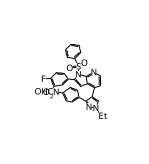 CCn1cc(-c2ccnc3c2cc(-c2ccc(F)c(C=O)c2)n3S(=O)(=O)c2ccccc2)c(-c2ccc([N+](=O)[O-])cc2)n1